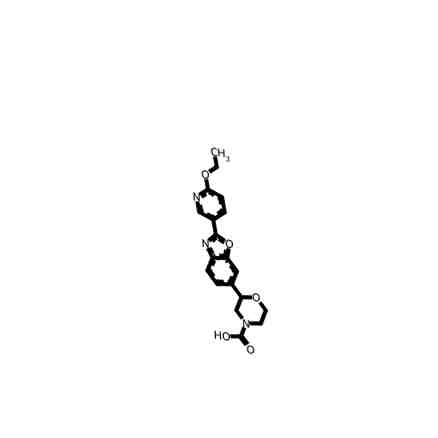 CCOc1ccc(-c2nc3ccc(C4CN(C(=O)O)CCO4)cc3o2)cn1